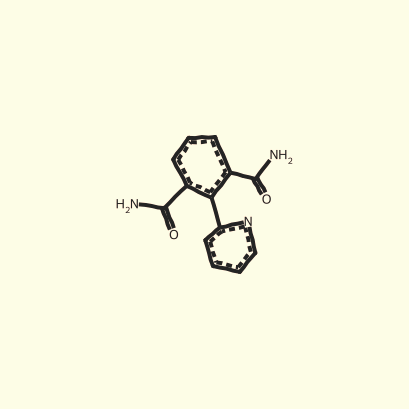 NC(=O)c1cccc(C(N)=O)c1-c1ccccn1